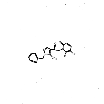 Cc1c(C(=O)Cn2c(F)c(Br)ccc2=O)cnn1Cc1ccccc1